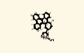 C[C@@H]1C=CC(/C(C=N)=C/NS)=Cc2c1c1ccccc1c1c3ccccc3c3ccccc3c21